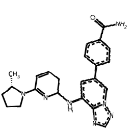 C[C@H]1CCCN1C1=NC(Nc2cc(-c3ccc(C(N)=O)cc3)cn3ncnc23)CC=C1